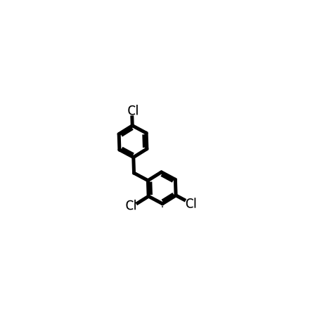 Clc1[c]c(Cl)c(Cc2ccc(Cl)cc2)cc1